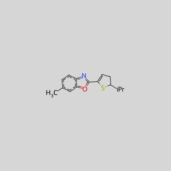 Cc1ccc2nc(C3=CCC(C(C)C)S3)oc2c1